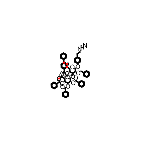 COC(=O)C1O[C@@H](OC2C(OCc3ccccc3)[C@H](Oc3ccc(CCN=[N+]=[N-])cc3)OC(COCc3ccccc3)[C@@H]2OC(=O)c2ccccc2)C(OC(=O)c2ccccc2)C(OC(=O)c2ccccc2)[C@@H]1OC(=O)c1ccccc1